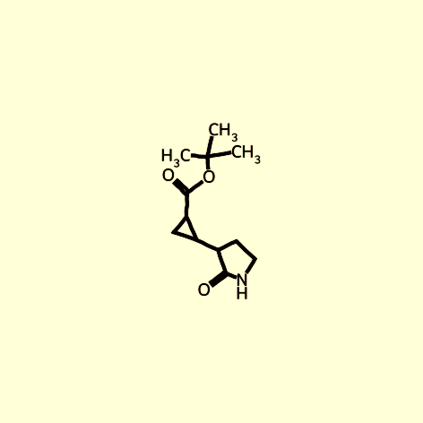 CC(C)(C)OC(=O)C1CC1C1CCNC1=O